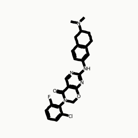 CN(C)C1CCc2cc(Nc3ncc4c(n3)OCN(c3c(F)cccc3Cl)C4=O)ccc2C1